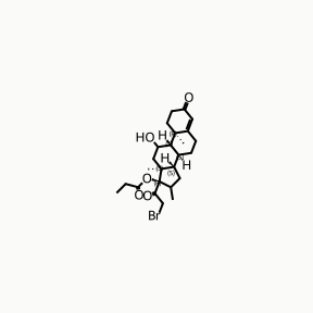 CCC(=O)O[C@]1(C(=O)CBr)C(C)C[C@H]2[C@@H]3CCC4=CC(=O)CC[C@]4(C)[C@H]3C(O)C[C@@]21C